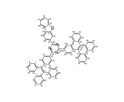 c1ccc(C(=C(c2ccccc2)c2ccc(-c3nc(-c4ccc(C(=C(c5ccccc5)c5ccccc5)c5ccccc5)cc4)nc(-c4ccc5c(c4)oc4ccccc45)n3)cc2)c2ccccc2)cc1